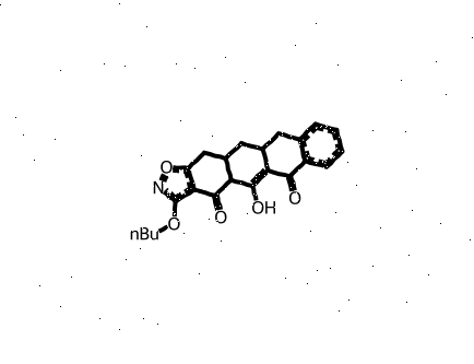 CCCCOc1noc2c1C(=O)C1C(O)=C3C(=O)c4ccccc4CC3CC1C2